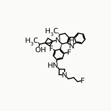 C[C@@H]1Cc2c([nH]c3ccccc23)[C@@H](c2c(F)cc(NC3CN(CCCF)C3)cc2F)N1C12CC([C@H](C)O)(C1)C2